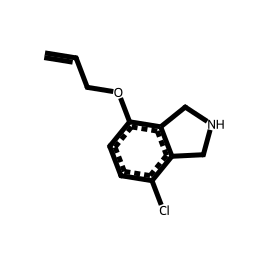 C=CCOc1ccc(Cl)c2c1CNC2